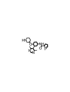 Cc1ncnc(C)c1-c1cc(NC(=O)c2cccn2C)ccc1O[C@@H]1CCCNC1